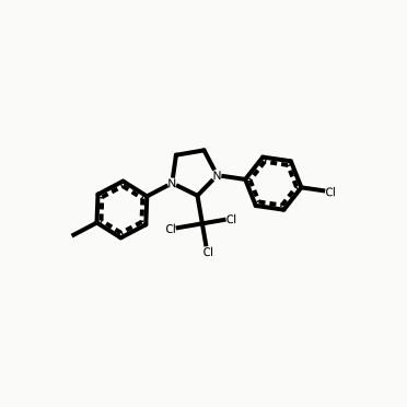 Cc1ccc(N2CCN(c3ccc(Cl)cc3)C2C(Cl)(Cl)Cl)cc1